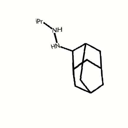 CC(C)NNC1C2CC3CC(C2)CC1C3